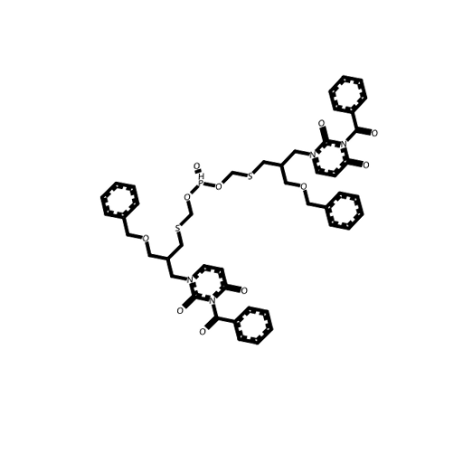 O=C(c1ccccc1)n1c(=O)ccn(CC(COCc2ccccc2)CSCO[PH](=O)OCSCC(COCc2ccccc2)Cn2ccc(=O)n(C(=O)c3ccccc3)c2=O)c1=O